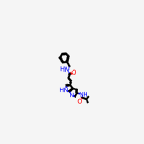 CC(C)C(=O)Nc1cnc2[nH]cc(C=CC(=O)NCc3ccccc3)c2c1